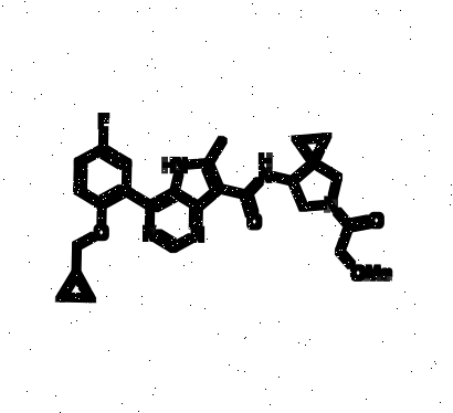 COCC(=O)N1CC(NC(=O)c2c(C)[nH]c3c(-c4cc(F)ccc4OCC4CC4)ncnc23)C2(CC2)C1